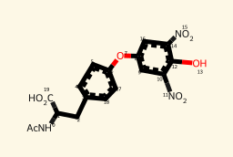 CC(=O)NC(Cc1ccc(Oc2cc([N+](=O)[O-])c(O)c([N+](=O)[O-])c2)cc1)C(=O)O